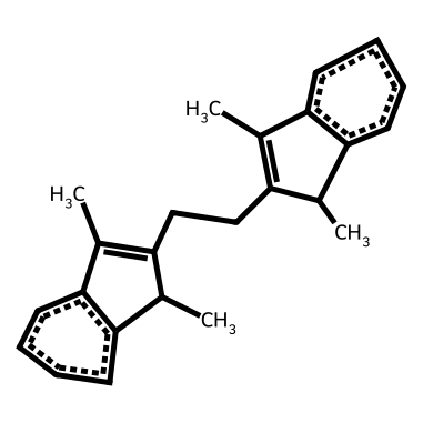 CC1=C(CCC2=C(C)c3ccccc3C2C)C(C)c2ccccc21